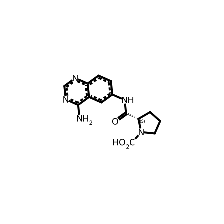 Nc1ncnc2ccc(NC(=O)[C@@H]3CCCN3C(=O)O)cc12